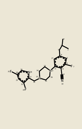 CC(C)Cc1cc(F)c(C#N)c(N2CCN(Cc3ncc(F)cc3F)CC2)c1